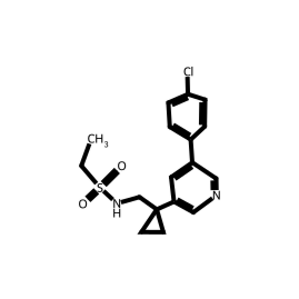 CCS(=O)(=O)NCC1(c2cncc(-c3ccc(Cl)cc3)c2)CC1